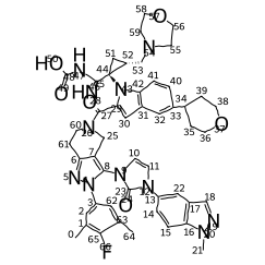 Cc1cc(-n2nc3c(c2-n2ccn(-c4ccc5c(cnn5C)c4)c2=O)CN(C(=O)c2cc4cc(C5CCOCC5)ccc4n2[C@@]2(C(=N)NC(=O)O)C[C@@H]2CN2CCOCC2)CC3)cc(C)c1F